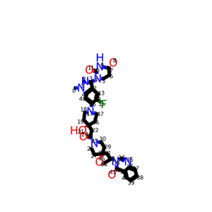 Cn1nc(N2CCC(=O)NC2=O)c2cc(F)c(N3CCC(O)(CC(=O)N4CCC5(CC4)C[C@@H](n4cnc6ccccc6c4=O)CO5)CC3)cc21